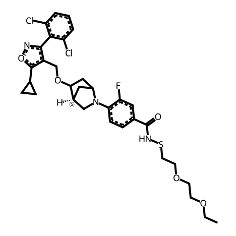 CCOCCOCCSNC(=O)c1ccc(N2C[C@@H]3CC2CC3OCc2c(-c3c(Cl)cccc3Cl)noc2C2CC2)c(F)c1